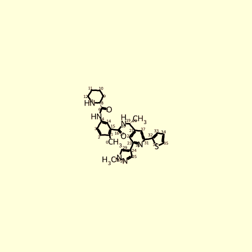 Cc1ccc(NC(=O)[C@H]2CCCCN2)cc1C(=O)N[C@H](C)c1cc(-c2cnn(C)c2)nc(-c2cccs2)c1